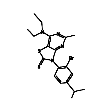 CCN(CC)c1nc(C)nc2c1sc(=S)n2-c1ccc(C(C)C)cc1Br